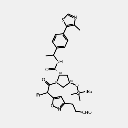 Cc1ncsc1-c1ccc(C(C)NC(=O)[C@@H]2C[C@@H](O[Si](C)(C)C(C)(C)C)CN2C(=O)C(c2cc(CCC=O)no2)C(C)C)cc1